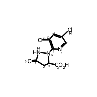 O=C1CC(C(=O)O)N(c2ncc(Cl)cc2Cl)N1